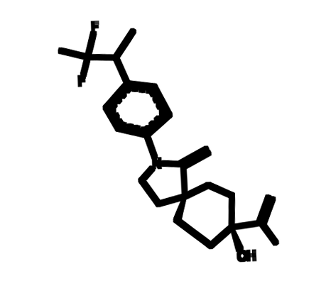 C=C(C)[C@]1(O)CC[C@]2(CCN(c3ccc(C(C)C(C)(F)F)cc3)C2=C)CC1